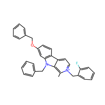 Cc1c2c(cc[n+]1Cc1ccccc1F)c1ccc(OCc3ccccc3)cc1n2Cc1ccccc1